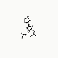 CC(C)=Cc1nc(N2CCCC2)nn1CC1CC1